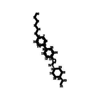 CCCCCCc1ccc(-c2ccc(OC[C@H]3CC[C@H](CC)CC3)cc2)nc1